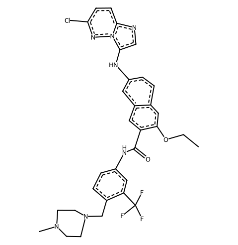 CCOc1cc2ccc(Nc3cnc4ccc(Cl)nn34)cc2cc1C(=O)Nc1ccc(CN2CCN(C)CC2)c(C(F)(F)F)c1